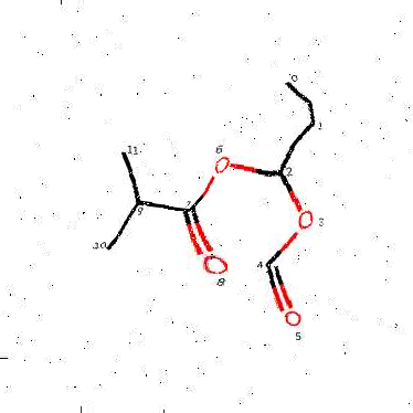 CCC(OC=O)OC(=O)C(C)C